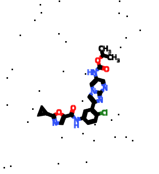 CC(C)OC(=O)Nc1cnc2nc(-c3cc(NC(=O)c4cnc(C5CC5)o4)ccc3Cl)cn2c1